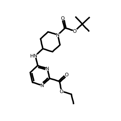 CCOC(=O)c1nccc(NC2CCN(C(=O)OC(C)(C)C)CC2)n1